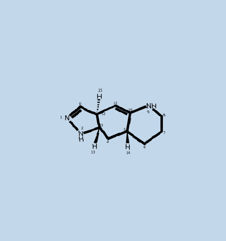 C1=NN[C@H]2C[C@H]3CCCNC3=C[C@H]12